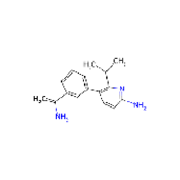 C=C(N)c1cccc(-c2ccc(N)nc2C(C)C)c1